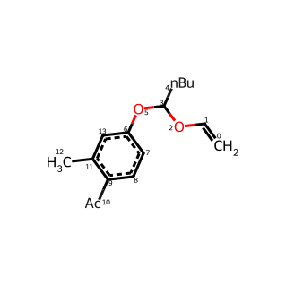 C=COC(CCCC)Oc1ccc(C(C)=O)c(C)c1